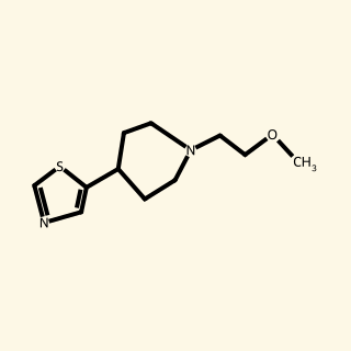 COCCN1CCC(c2cncs2)CC1